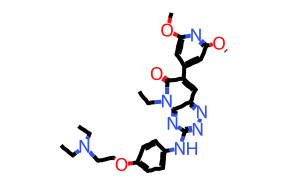 CCN(CC)CCOc1ccc(Nc2nnc3cc(-c4cc(OC)nc(OC)c4)c(=O)n(CC)c3n2)cc1